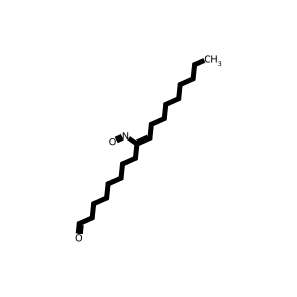 CCCCCCCC/C=C(/CCCCCCCC=O)N=O